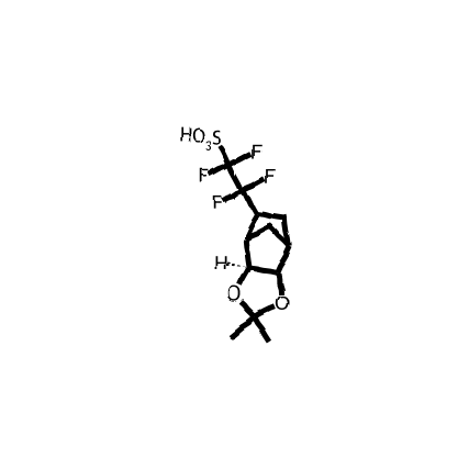 CC1(C)OC2C3CC(C(C(F)(F)C(F)(F)S(=O)(=O)O)C3)[C@@H]2O1